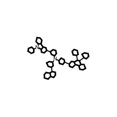 c1ccc(-c2c(-c3ccccc3)c3cc(-c4ccc(N(c5cccc(-c6ccc7c(c6)c6ccccc6n7-c6ccccc6)c5)c5cccc(-c6cccc7ccccc67)c5)cc4)ccc3c3ccccc23)cc1